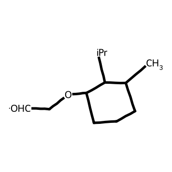 CC(C)C1C(C)CCCC1OC[C]=O